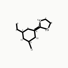 CCC1CC(=C2SCCS2)CC(C)C1